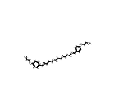 OCCOc1ccc(/C=N/CCCOCCCOCCC/N=C/c2ccc(OCCO)cc2)cc1